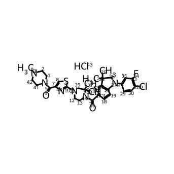 CN1CCN(C(=O)c2csc(N3CCN(C(=O)c4ccc5c(n4)C(C)(C)CN5c4ccc(Cl)c(F)c4)C(C)(C)C3)n2)CC1.Cl